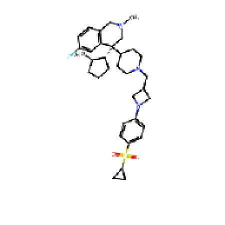 CC(=O)O[C@@H]1CCC[C@H]1C1(C2CCN(CC3CN(c4ccc(S(=O)(=O)C5CC5)cc4)C3)CC2)CN(C)Cc2ccc(F)cc21